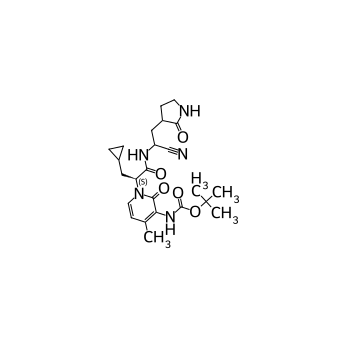 Cc1ccn([C@@H](CC2CC2)C(=O)NC(C#N)CC2CCNC2=O)c(=O)c1NC(=O)OC(C)(C)C